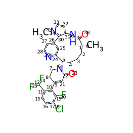 C[C@@H]1CCC[C@H](N2CCC(c3c(C(F)F)ccc(Cl)c3F)=CC2=O)c2cc(ccn2)-c2c(ccn2C)NC1=O